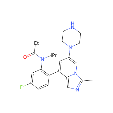 CCC(=O)N(c1cc(F)ccc1-c1cc(N2CCNCC2)cn2c(C)ncc12)C(C)C